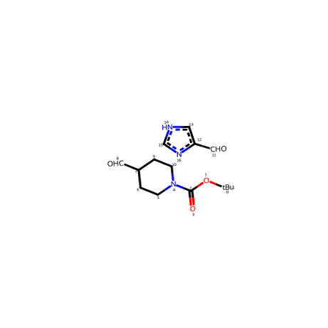 CC(C)(C)OC(=O)N1CCC(C=O)CC1.O=Cc1c[nH]cn1